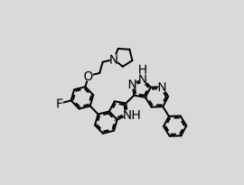 Fc1cc(OCCN2CCCC2)cc(-c2cccc3[nH]c(-c4n[nH]c5ncc(-c6ccccc6)cc45)cc23)c1